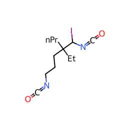 CCCC(CC)(CCCN=C=O)C(I)N=C=O